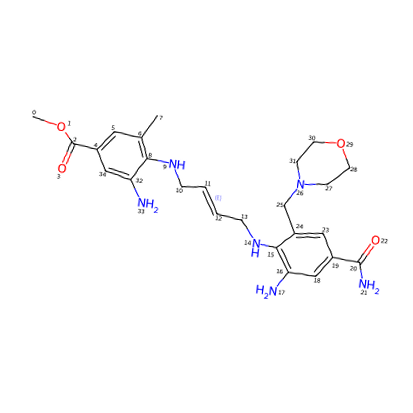 COC(=O)c1cc(C)c(NC/C=C/CNc2c(N)cc(C(N)=O)cc2CN2CCOCC2)c(N)c1